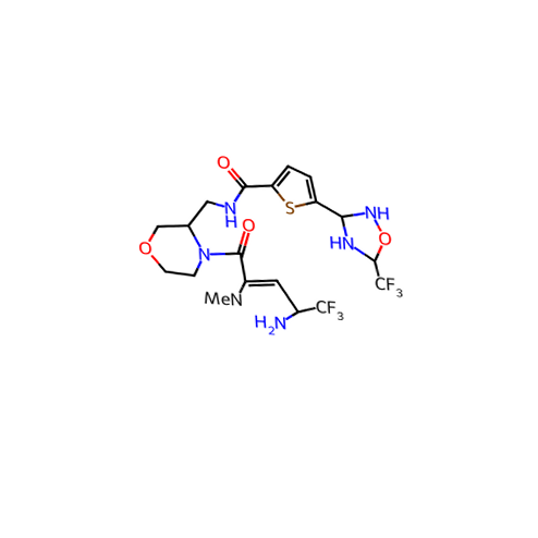 CN/C(=C\C(N)C(F)(F)F)C(=O)N1CCOCC1CNC(=O)c1ccc(C2NOC(C(F)(F)F)N2)s1